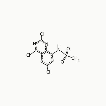 CS(=O)(=O)Nc1cc(Cl)cc2c(Cl)nc(Cl)nc12